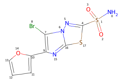 NS(=O)(=O)c1nn2c(Br)c(-c3ccco3)nc2s1